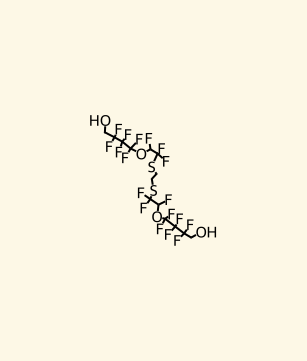 OCC(F)(F)C(F)(F)C(F)(F)OC(F)C(F)(F)SCCSC(F)(F)C(F)OC(F)(F)C(F)(F)C(F)(F)CO